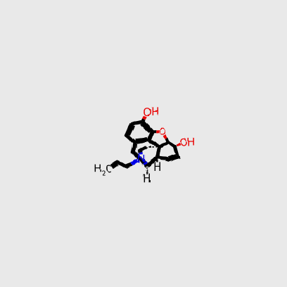 C=CCN1CC[C@]23c4c5ccc(O)c4OC2[C@@H](O)C=C[C@H]3[C@H]1C5